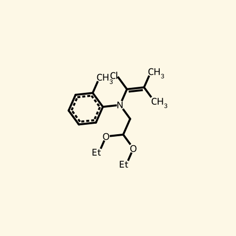 CCOC(CN(C(Cl)=C(C)C)c1ccccc1C)OCC